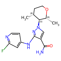 C[C@@H]1CCO[C@H](C)[C@H]1n1cc(C(N)=O)c(Nc2ccnc(F)c2)n1